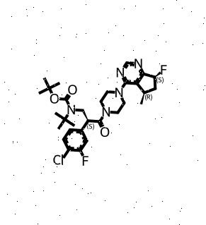 C[C@@H]1C[C@H](F)c2ncnc(N3CCN(C(=O)[C@H](CN(C(=O)OC(C)(C)C)C(C)(C)C)c4ccc(Cl)c(F)c4)CC3)c21